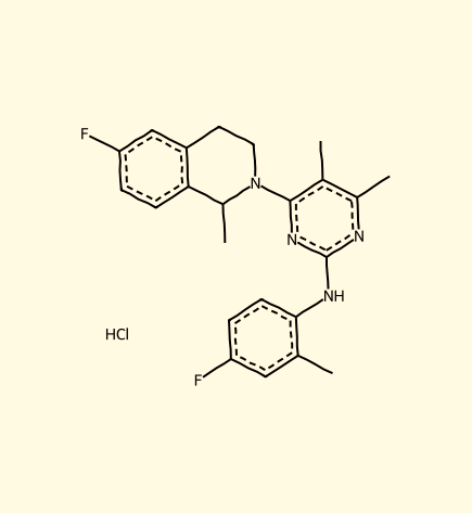 Cc1cc(F)ccc1Nc1nc(C)c(C)c(N2CCc3cc(F)ccc3C2C)n1.Cl